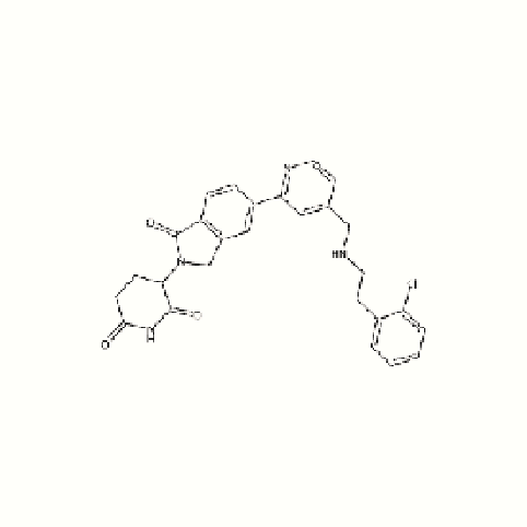 O=C1CCC(N2Cc3cc(-c4cc(CNCCc5ccccc5Cl)ccn4)ccc3C2=O)C(=O)N1